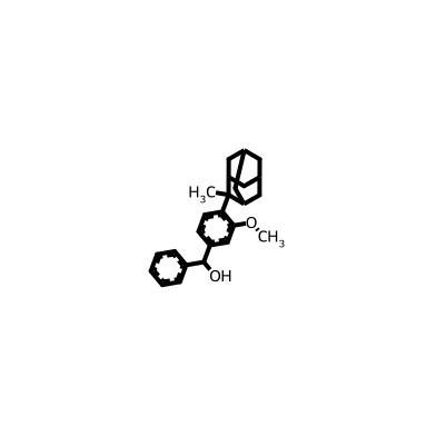 COc1cc(C(O)c2ccccc2)ccc1C1(C)C2CC3CC(C2)CC1C3